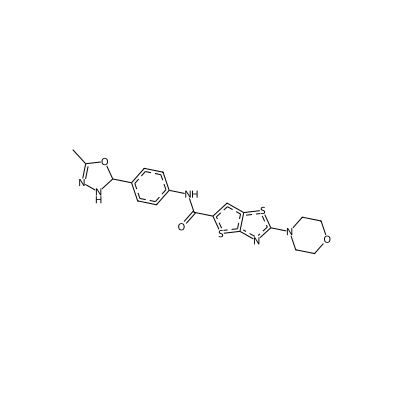 CC1=NNC(c2ccc(NC(=O)c3cc4sc(N5CCOCC5)nc4s3)cc2)O1